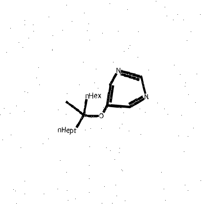 CCCCCCCC(C)(CCCCCC)Oc1cncnc1